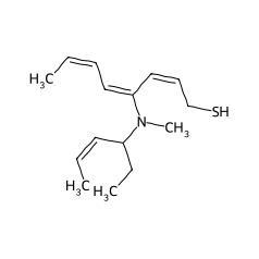 C\C=C/C=C(\C=C/CS)N(C)C(/C=C\C)CC